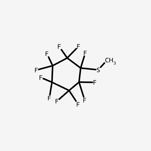 CSC1(F)C(F)(F)C(F)(F)C(F)(F)C(F)(F)C1(F)F